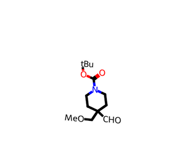 COCC1(C=O)CCN(C(=O)OC(C)(C)C)CC1